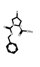 COC(=O)[C@@H]1CC(F)CN1C(=O)OCc1ccccc1